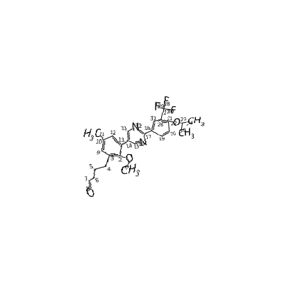 COc1c(CCCC=O)cc(C)cc1-c1cnc(-c2ccc(OC(C)C)c(C(F)(F)F)c2)nc1